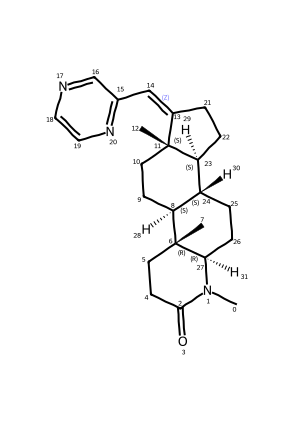 CN1C(=O)CC[C@]2(C)[C@H]3CC[C@]4(C)/C(=C\c5cnccn5)CC[C@H]4[C@@H]3CC[C@@H]12